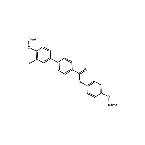 CCCCCCCOc1ccc(OC(=O)c2ccc(-c3ccc(OCCCCC)c(F)c3)cc2)cc1